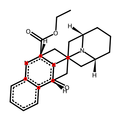 CCOC(=O)c1nc2ccccc2c(=O)n1C1C[C@H]2CCC[C@@H](C1)N2C1C[C@H]2CCC[C@@H](C1)C2